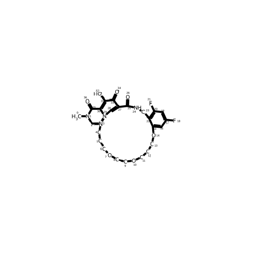 CN1CN2CCCOCCOCCCOc3cc(F)cc(F)c3CNC(=O)c3cn2c(c(O)c3=O)C1=O